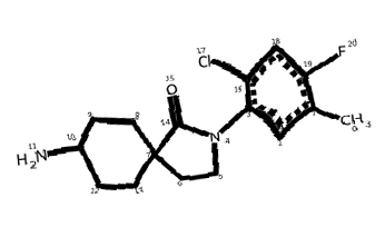 Cc1cc(N2CCC3(CCC(N)CC3)C2=O)c(Cl)cc1F